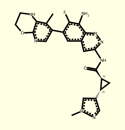 Cc1c(-c2cc3cc(NC(=O)[C@H]4C[C@@H]4c4cnn(C)c4)nnc3c(N)c2F)cnc2c1NCCO2